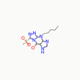 CCCCCn1c2nc[nH]c2c(=O)n2c(S(C)(=O)=O)nnc12